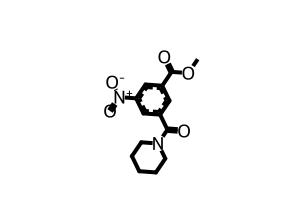 COC(=O)c1cc(C(=O)N2CCCCC2)cc([N+](=O)[O-])c1